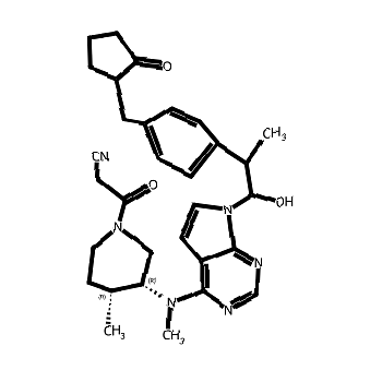 CC(c1ccc(CC2CCCC2=O)cc1)C(O)n1ccc2c(N(C)[C@H]3CN(C(=O)CC#N)CC[C@H]3C)ncnc21